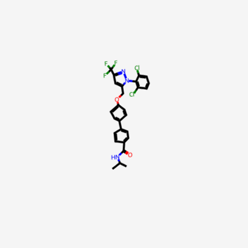 CC(C)NC(=O)c1ccc(-c2ccc(OCc3cc(C(F)(F)F)nn3-c3c(Cl)cccc3Cl)cc2)cc1